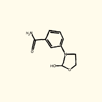 NC(=O)c1cccc(N2CCOC2O)c1